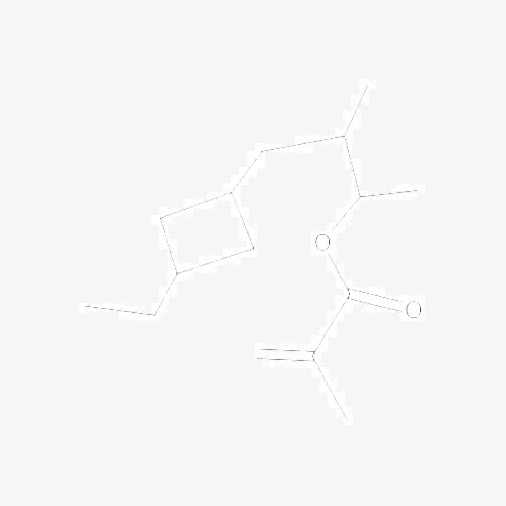 C=C(C)C(=O)OC(C)C(C)CC1CC(CC)C1